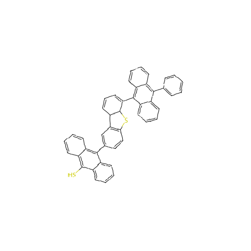 Sc1c2ccccc2c(-c2ccc3c(c2)C2C=CC=C(c4c5ccccc5c(-c5ccccc5)c5ccccc45)C2S3)c2ccccc12